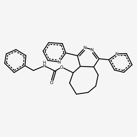 O=C(NCc1ccccc1)OC1CCCCCC2C(c3ccccn3)=NN=C(c3ccccn3)C12